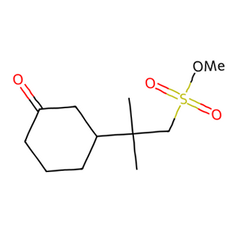 COS(=O)(=O)CC(C)(C)C1CCCC(=O)C1